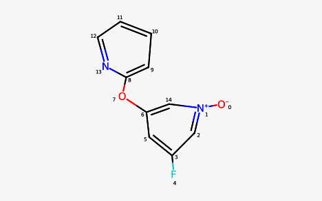 [O-][n+]1cc(F)cc(Oc2ccccn2)c1